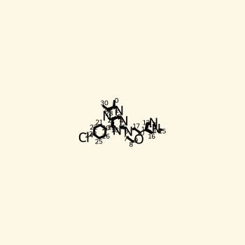 Cc1nc2nc(N3CCO[C@H](c4cnn(C)c4)C3)nc([C@H]3CC[C@@H](Cl)CC3)c2nc1C